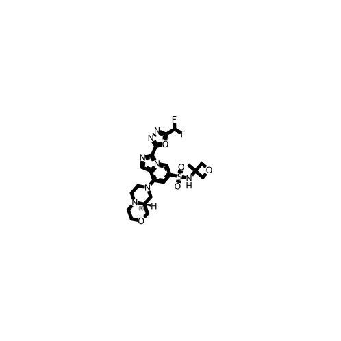 CC1(NS(=O)(=O)c2cc(N3CCN4CCOC[C@H]4C3)c3cnc(-c4nnc(C(F)F)o4)n3c2)COC1